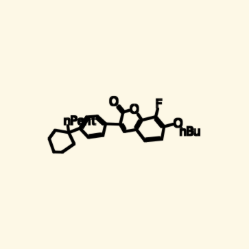 CCCCCC1(c2ccc(-c3cc4ccc(OCCCC)c(F)c4oc3=O)cc2)CCCCC1